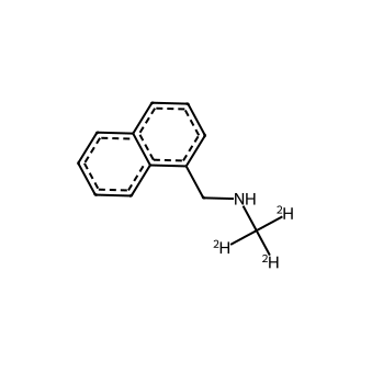 [2H]C([2H])([2H])NCc1cccc2ccccc12